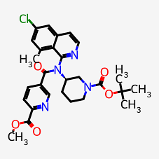 COC(=O)c1ccc(C(=O)N(c2nccc3cc(Cl)cc(C)c23)[C@@H]2CCCN(C(=O)OC(C)(C)C)C2)cn1